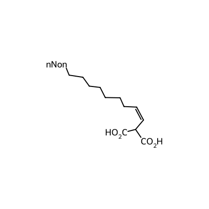 CCCCCCCCCCCCCCCC/C=C\C(C(=O)O)C(=O)O